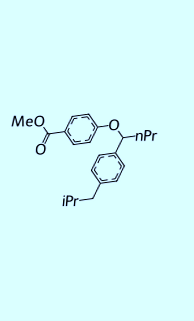 CCCC(Oc1ccc(C(=O)OC)cc1)c1ccc(CC(C)C)cc1